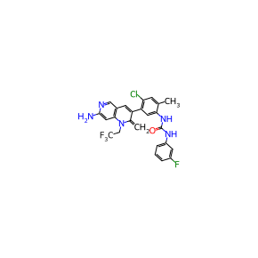 C=C1C(c2cc(NC(=O)Nc3cccc(F)c3)c(C)cc2Cl)=Cc2cnc(N)cc2N1CC(F)(F)F